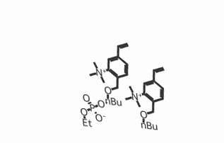 C=Cc1ccc(COCCCC)c([N+](C)(C)C)c1.C=Cc1ccc(COCCCC)c([N+](C)(C)C)c1.CCOP(=O)([O-])[O-]